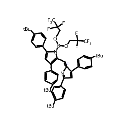 CC(C)(C)c1ccc(C2=CC(c3ccc(C(C)(C)C)cc3)=N/C2=C\c2c(-c3ccc(C(C)(C)C)cc3)cc(-c3ccc(C(C)(C)C)cc3)n2B(OCC(F)(F)C(F)(F)F)OCC(F)(F)C(F)(F)F)cc1